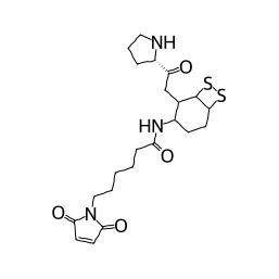 O=C(CCCCCN1C(=O)C=CC1=O)NC1CCC2SSC2C1CC(=O)[C@@H]1CCCN1